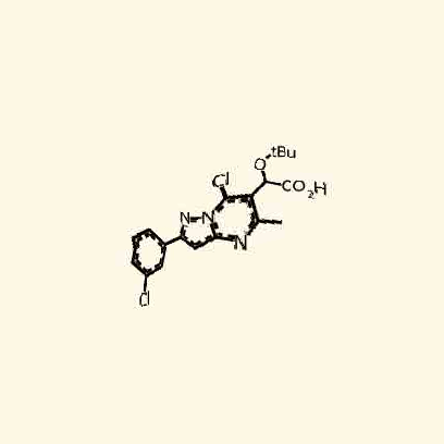 Cc1nc2cc(-c3cccc(Cl)c3)nn2c(Cl)c1C(OC(C)(C)C)C(=O)O